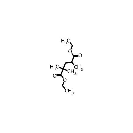 CCOC(=O)C(C)CC(C)(C)C(=O)OCC